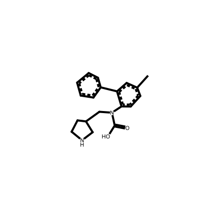 Cc1ccc(N(CC2CCNC2)C(=O)O)c(-c2ccccc2)c1